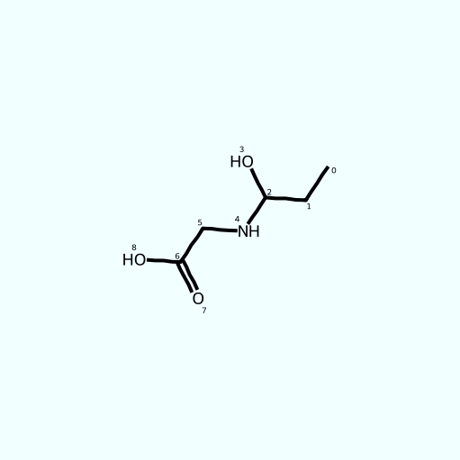 CCC(O)NCC(=O)O